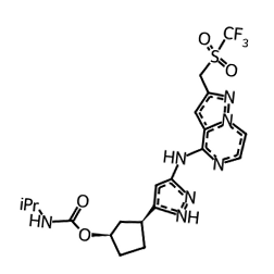 CC(C)NC(=O)O[C@@H]1CC[C@H](c2cc(Nc3nccn4nc(CS(=O)(=O)C(F)(F)F)cc34)n[nH]2)C1